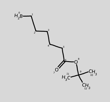 BCCCCCC(=O)OC(C)(C)C